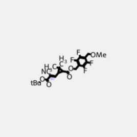 COCc1c(F)c(F)c(COC(=O)C2C(/C=C(\C#N)C(=O)OC(C)(C)C)C2(C)C)c(F)c1F